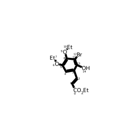 CCOC(=O)C=Cc1cc(OCC)c(OCC)c(Br)c1O